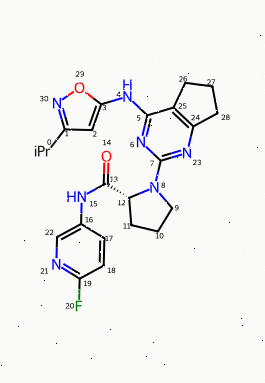 CC(C)c1cc(Nc2nc(N3CCC[C@@H]3C(=O)Nc3ccc(F)nc3)nc3c2CCC3)on1